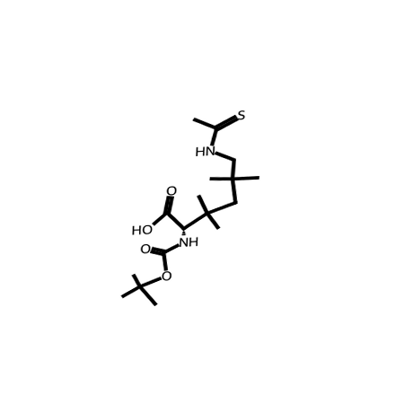 CC(=S)NCC(C)(C)CC(C)(C)[C@H](NC(=O)OC(C)(C)C)C(=O)O